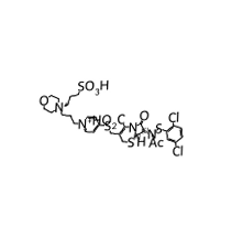 CC(=O)N(Sc1cc(Cl)ccc1Cl)[C@H]1C(=O)N2C(C(=O)O)=C(CSc3cc[n+](CCC[N+]4(CCCS(=O)(=O)O)CCOCC4)cc3)CS[C@H]12